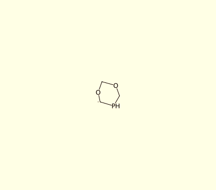 [CH]1OCOCP1